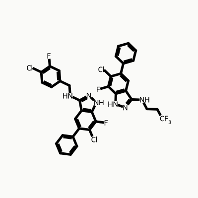 Fc1c(Cl)c(-c2ccccc2)cc2c(NCCC(F)(F)F)n[nH]c12.Fc1cc(CNc2n[nH]c3c(F)c(Cl)c(-c4ccccc4)cc23)ccc1Cl